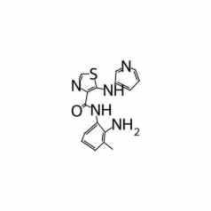 Cc1cccc(NC(=O)c2ncsc2Nc2cccnc2)c1N